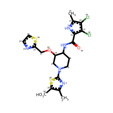 Cc1nc(N2CCC(NC(=O)c3[nH]c(C)c(Cl)c3Cl)C(OCc3nccs3)C2)sc1C(=O)O